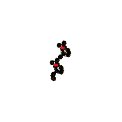 c1ccc(-c2nc(-c3ccc(-c4ccc5c(c4)c4cc(-c6ccc7sc8cccc(-c9nc(-c%10ccccc%10)nc(-c%10ccc%11sc%12ccccc%12c%11c%10)n9)c8c7c6)ccc4n5-c4ccccc4)cc3)nc(-c3cccc4sc5ccc(-c6ccc7c(c6)c6ccccc6n7-c6ccccc6)cc5c34)n2)cc1